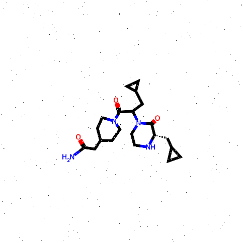 NC(=O)CC1CCN(C(=O)C(CC2CC2)N2CCN[C@@H](CC3CC3)C2=O)CC1